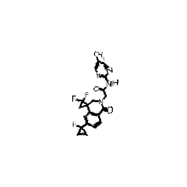 Cc1cnc(NC(=O)CN2CC3(CC3(F)F)c3cc(C4(F)CC4)ccc3C2=O)nc1